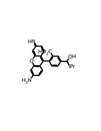 CC(C)C(O)c1ccc(-c2c3ccc(=N)cc-3oc3cc(N)ccc23)c(C(=O)O)c1